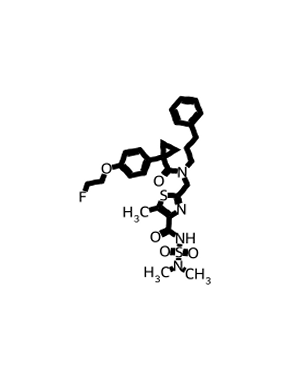 Cc1sc(CN(CCCc2ccccc2)C(=O)C2(c3ccc(OCCF)cc3)CC2)nc1C(=O)NS(=O)(=O)N(C)C